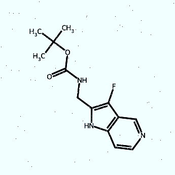 CC(C)(C)OC(=O)NCc1[nH]c2ccncc2c1F